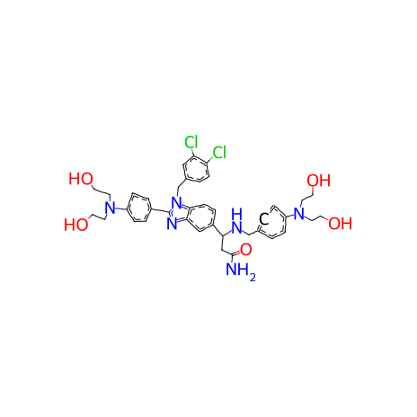 NC(=O)CC(NCc1ccc(N(CCO)CCO)cc1)c1ccc2c(c1)nc(-c1ccc(N(CCO)CCO)cc1)n2Cc1ccc(Cl)c(Cl)c1